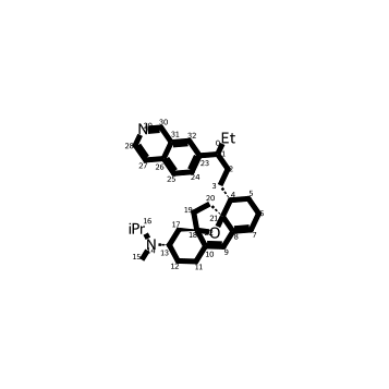 CCC(CC[C@@H]1CCC=C2C=C3CC[C@H](N(C)C(C)C)C[C@]34CC[C@@]21O4)c1ccc2ccncc2c1